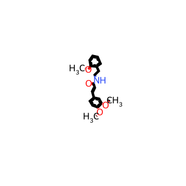 COc1ccccc1CCNC(=O)/C=C/c1ccc(OC)c(OC)c1